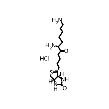 Cl.NCCCCCC(N)C(=O)CCCC[C@@H]1SC[C@@H]2NC(=O)N[C@@H]21